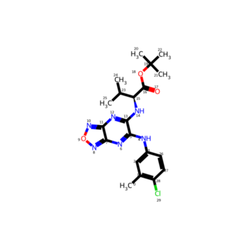 Cc1cc(Nc2nc3nonc3nc2N[C@H](C(=O)OC(C)(C)C)C(C)C)ccc1Cl